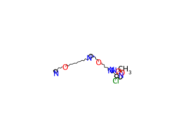 CC(=O)Oc1c(-c2cn(CCCCCCOCCCc3ccc[n+](CCCCCCCCCCCCOCCCc4cccnc4)c3)nn2)cc(Cl)c2cccnc12